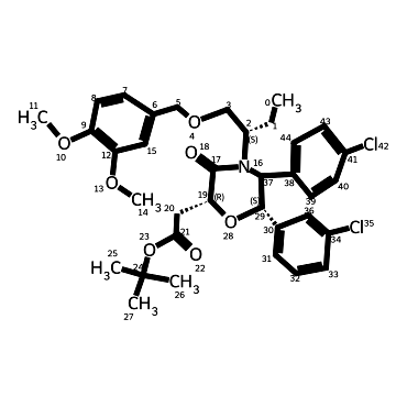 CC[C@@H](COCc1ccc(OC)c(OC)c1)N1C(=O)[C@@H](CC(=O)OC(C)(C)C)O[C@@H](c2cccc(Cl)c2)C1c1ccc(Cl)cc1